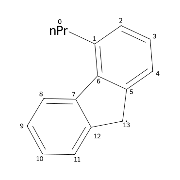 CCCc1cccc2c1-c1ccccc1[CH]2